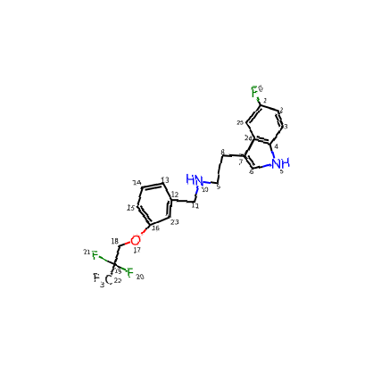 Fc1ccc2[nH]cc(CCNCc3cccc(OCC(F)(F)C(F)(F)F)c3)c2c1